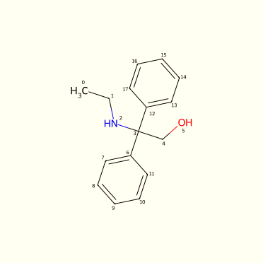 CCNC(CO)(c1ccccc1)c1ccccc1